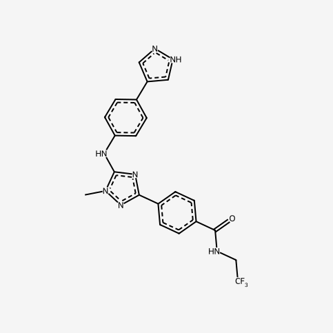 Cn1nc(-c2ccc(C(=O)NCC(F)(F)F)cc2)nc1Nc1ccc(-c2cn[nH]c2)cc1